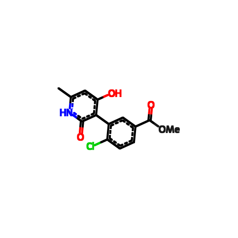 COC(=O)c1ccc(Cl)c(-c2c(O)cc(C)[nH]c2=O)c1